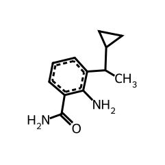 CC(c1cccc(C(N)=O)c1N)C1CC1